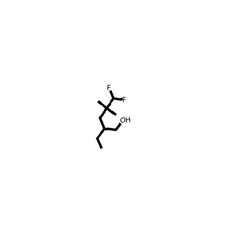 CCC(CO)CC(C)(C)C(F)F